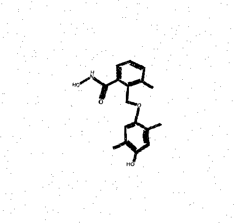 Cc1cc(OCc2c(C)cccc2C(=O)NO)c(C)cc1O